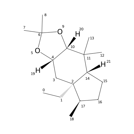 CC[C@]12C[C@@H]3OC(C)(C)O[C@@H]3C(C)(C)[C@@H]1CC[C@H]2C